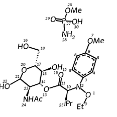 CCON(c1ccc(OC)cc1)[C@H](C(=O)O[C@H]1[C@H](O)[C@@H](CO)OC(O)[C@@H]1NC(C)=O)C(C)C.COP(N)(=O)O